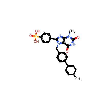 CC1C=CC(c2ccc(Cn3c(-c4ccc(P(=O)(O)O)cc4)nc4c3c(=O)[nH]c(=O)n4C)cc2)=CC1